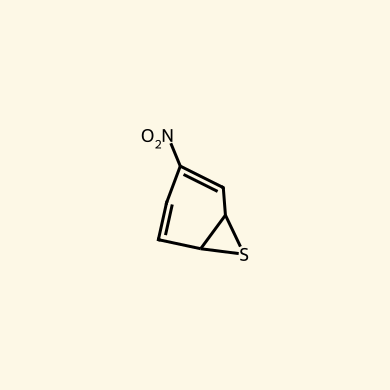 O=[N+]([O-])C1=CC2SC2C=C1